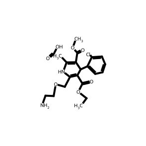 CCOC(=O)C1=C(COCCN)NC(C)=C(C(=O)OC)C1c1ccccc1Cl.O=CO